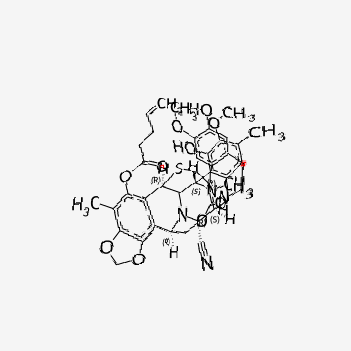 C=CCCC(=O)Oc1c(C)c2c(c3c1[C@H]1SC[C@]4(NCCc5cc(O)c(OC)cc54)C(=O)OC[C@@H]3N3C1[C@@H]1c4c(cc(C)c(OC)c4O)C[C@@H]([C@@H]3C#N)N1C)OCO2